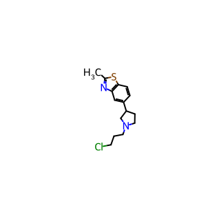 Cc1nc2cc(C3CCN(CCCCl)C3)ccc2s1